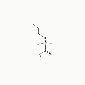 CCCOC(C)(C)C(=O)OC